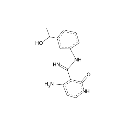 CC(O)c1cccc(NC(=N)c2c(N)cc[nH]c2=O)c1